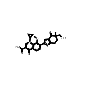 COc1c(-c2cc3c(s2)CCC(C)(CO)C3=O)ccc2c(=O)c(C(=O)O)cn(C3CC3)c12